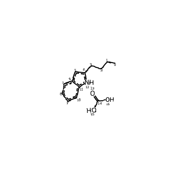 CCCCc1cc2ccccc2[nH]1.O=C(O)O